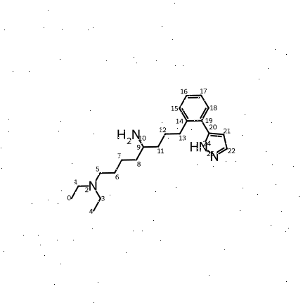 CCN(CC)CCCCC(N)CCCc1ccccc1-c1ccn[nH]1